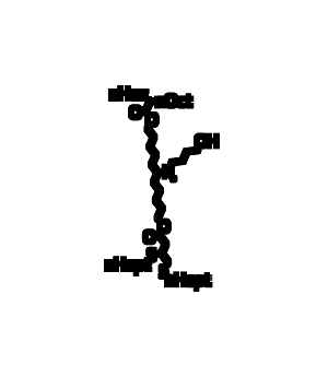 CCCCCCCCC(CCCCCC)C(=O)OCCCCCC(CCCCCOC(=O)CC(CSCCCCCCC)SCCCCCCC)N(C)CCCCO